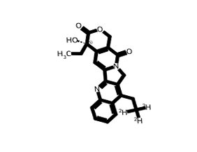 [2H]C([2H])([2H])Cc1c2c(nc3ccccc13)-c1cc3c(c(=O)n1C2)COC(=O)[C@]3(O)CC